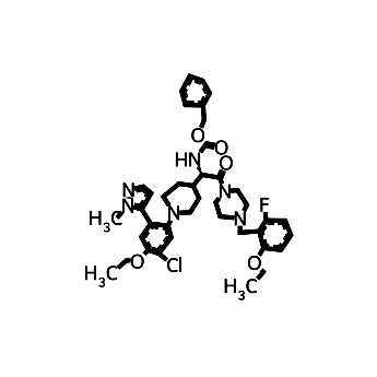 CCOc1cc(-c2ccnn2C)c(N2CCC([C@@H](NC(=O)OCc3ccccc3)C(=O)N3CCN(Cc4c(F)cccc4OCC)CC3)CC2)cc1Cl